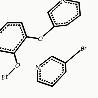 Brc1cccnc1.CCOc1ccccc1Oc1cccnc1